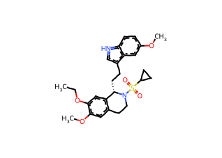 CCOc1cc2c(cc1OC)CCN(S(=O)(=O)C1CC1)[C@H]2CCc1c[nH]c2ccc(OC)cc12